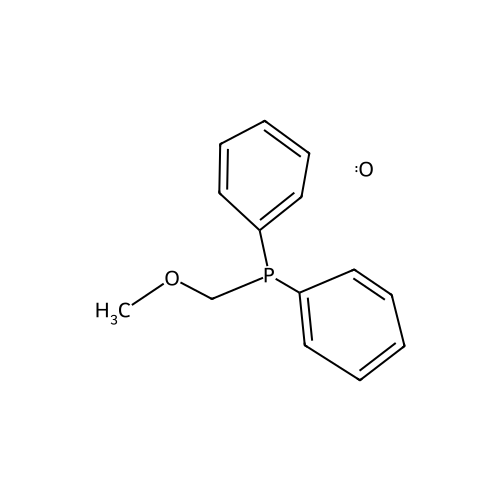 COCP(c1ccccc1)c1ccccc1.[O]